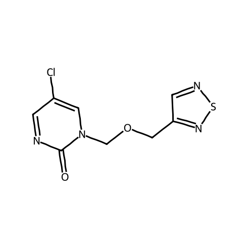 O=c1ncc(Cl)cn1COCc1cnsn1